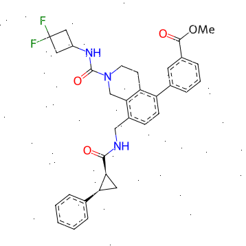 COC(=O)c1cccc(-c2ccc(CNC(=O)[C@H]3C[C@H]3c3ccccc3)c3c2CCN(C(=O)NC2CC(F)(F)C2)C3)c1